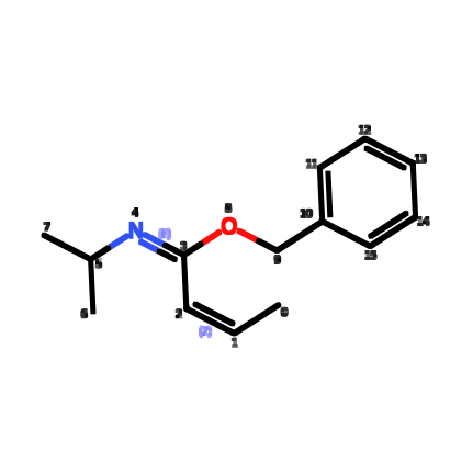 C/C=C\C(=N/C(C)C)OCc1ccccc1